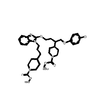 CC(C)(C)OC(=O)N1CCC(CCCn2c(OCCC(COc3ccc(Cl)cc3)C3CCN(C(=O)OC(C)(C)C)CC3)nc3ccccc32)CC1